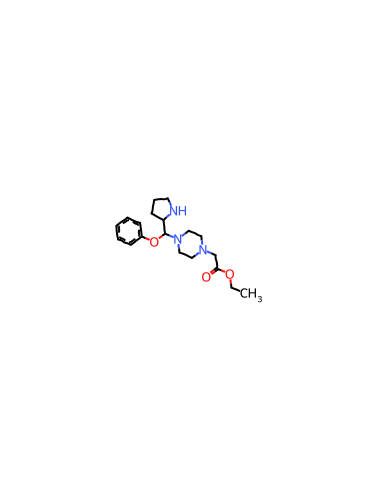 CCOC(=O)CN1CCN(C(Oc2ccccc2)C2CCCN2)CC1